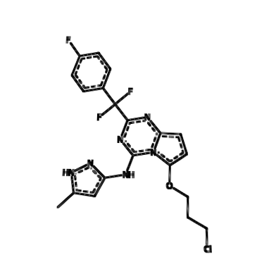 Cc1cc(Nc2nc(C(F)(F)c3ccc(F)cc3)nc3ccc(OCCCCl)n23)n[nH]1